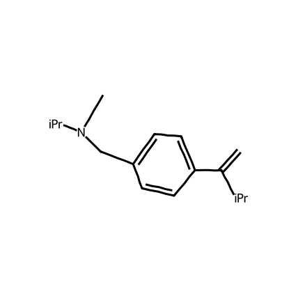 C=C(c1ccc(CN(C)C(C)C)cc1)C(C)C